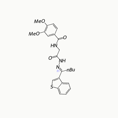 CCCC/C(=N\NC(=O)CNC(=O)c1ccc(OC)c(OC)c1)c1csc2ccccc12